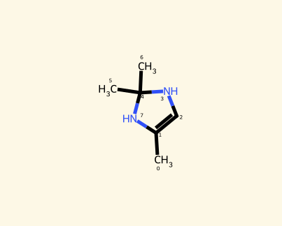 CC1=CNC(C)(C)N1